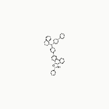 c1ccc(-c2ccc(N(c3ccc(-c4ccc5c6c(c7ccccc7c5c4)NC(c4ccccc4)O6)cc3)c3cccc4ccccc34)cc2)cc1